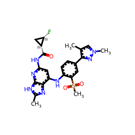 Cc1nc2c(Nc3ccc(-c4nn(C)cc4C)cc3S(C)(=O)=O)cc(NC(=O)[C@@H]3C[C@@H]3F)nc2[nH]1